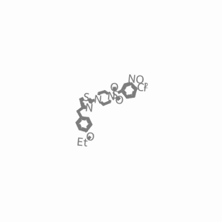 CCOc1ccc(Cc2csc(N3CCN(S(=O)(=O)c4ccc(Cl)c([N+](=O)[O-])c4)CC3)n2)cc1